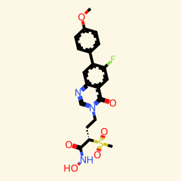 COc1ccc(-c2cc3ncn(CC[C@@H](C(=O)NO)S(C)(=O)=O)c(=O)c3cc2F)cc1